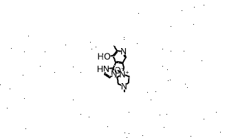 Cc1ncc(C[N+]2([O-])CCN(C)CC2)c(-c2ncc[nH]2)c1O